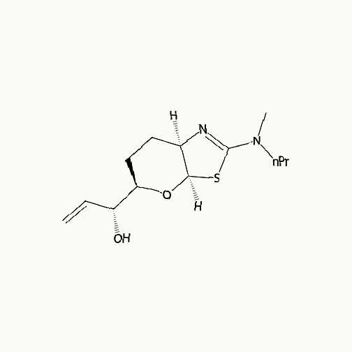 C=C[C@@H](O)[C@H]1CC[C@H]2N=C(N(C)CCC)S[C@H]2O1